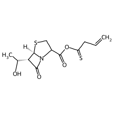 C=CCC(=S)OC(=O)C1CS[C@@H]2[C@@H](C(C)O)C(=O)N12